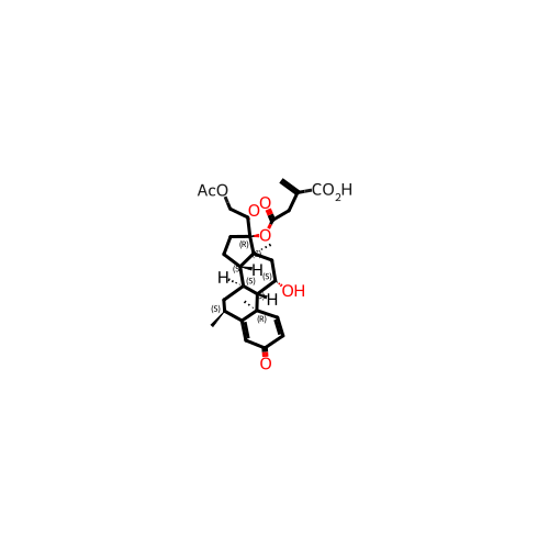 C=C(CC(=O)O[C@]1(C(=O)COC(C)=O)CC[C@H]2[C@@H]3C[C@H](C)C4=CC(=O)C=C[C@]4(C)[C@H]3[C@@H](O)C[C@@]21C)C(=O)O